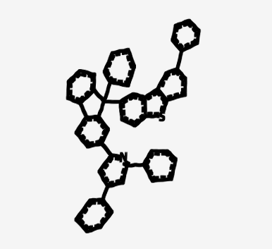 c1ccc(-c2cc(-c3ccccc3)nc(-c3ccc4c(c3)C(c3ccccc3)(c3ccc5sc6ccc(-c7ccccc7)cc6c5c3)c3ccccc3-4)c2)cc1